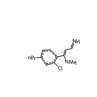 CCCc1ccc(/C(=C/C=N)NC)c(Cl)c1